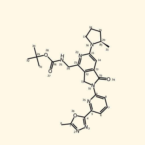 Cc1nnc(-c2cccc(N3Cc4c(cc(N5CCC[C@H]5C)nc4CNC(=O)OC(C)(C)C)C3=O)n2)o1